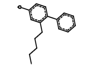 CCCCCc1cc([O])ccc1-c1ccccc1